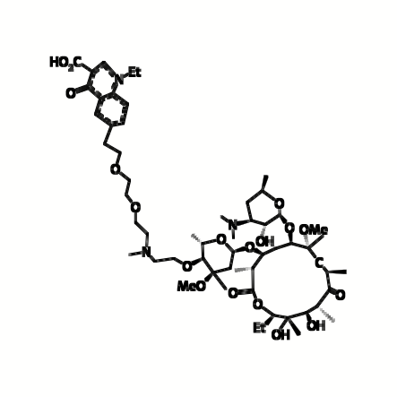 CC[C@H]1OC(=O)[C@H](C)[C@@H](O[C@H]2C[C@@](C)(OC)[C@@H](OCCN(C)CCOCCOCCc3ccc4c(c3)c(=O)c(C(=O)O)cn4CC)[C@H](C)O2)[C@H](C)[C@@H](O[C@@H]2O[C@H](C)C[C@H](N(C)C)[C@H]2O)[C@](C)(OC)C[C@@H](C)C(=O)[C@H](C)[C@@H](O)[C@]1(C)O